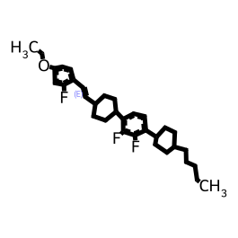 CCCCCC1CCC(c2ccc(C3CCC(/C=C/c4ccc(OCC)cc4F)CC3)c(F)c2F)CC1